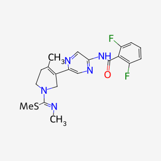 CN=C(SC)N1CCC(C)=C(c2cnc(NC(=O)c3c(F)cccc3F)cn2)C1